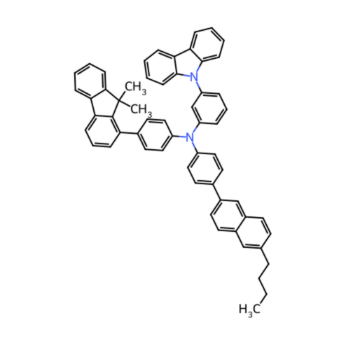 CCCCc1ccc2cc(-c3ccc(N(c4ccc(-c5cccc6c5C(C)(C)c5ccccc5-6)cc4)c4cccc(-n5c6ccccc6c6ccccc65)c4)cc3)ccc2c1